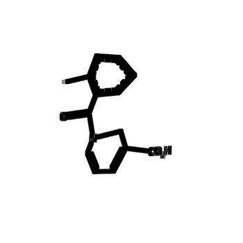 [CH2]c1ccccc1C(=O)N1C=CC=C(C(=O)O)C1